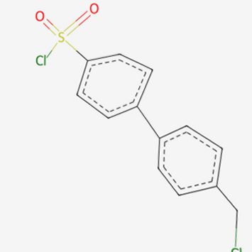 O=S(=O)(Cl)c1ccc(-c2ccc(CCl)cc2)cc1